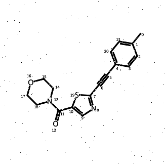 Cc1ccc(C#Cc2ncc(C(=O)N3CCOCC3)s2)cc1